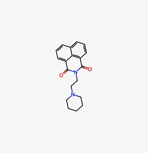 O=C1c2cccc3cccc(c23)C(=O)N1CCN1CCCCC1